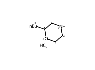 CCCCC1CNCCO1.Cl